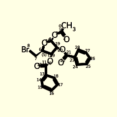 CC(=O)O[C@@H]1O[C@H](CBr)[C@@H](OC(=O)c2ccccc2)[C@H]1OC(=O)c1ccccc1